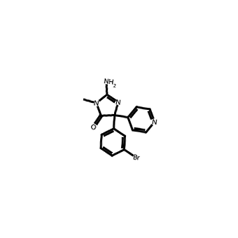 CN1C(=O)C(c2ccncc2)(c2cccc(Br)c2)N=C1N